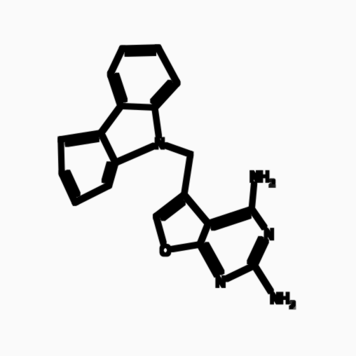 Nc1nc(N)c2c(Cn3c4ccccc4c4ccccc43)coc2n1